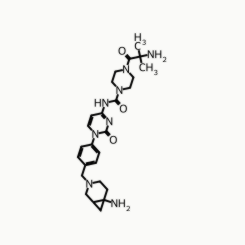 CC(C)(N)C(=O)N1CCN(C(=O)Nc2ccn(-c3ccc(CN4CCC5(N)CC5C4)cc3)c(=O)n2)CC1